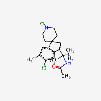 CC(=O)NC(C)(C)[C@]1(C)CC2(CCN(Cl)CC2)c2cc(C)c(Cl)cc21